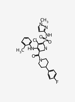 Cc1ccccc1Nc1c(C(=O)N2CCC(c3ccc(F)cc3)CC2)cnc(S(=O)(=O)Nc2ccn(C)n2)c1Cl